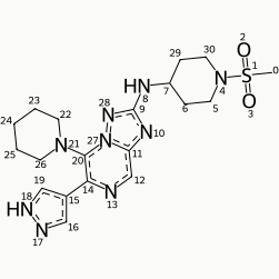 CS(=O)(=O)N1CCC(Nc2nc3cnc(-c4cn[nH]c4)c(N4CCCCC4)n3n2)CC1